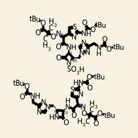 CC(C)(C)OC(=O)NCc1ncn(C[C@@H]2[C@H](NC(=O)/C(=N\OC(C)(C)C(=O)OC(C)(C)C)c3csc(NC(=O)OC(C)(C)C)n3)C(=O)N2S(=O)(=O)O)n1.CC(C)(C)OC(=O)NCc1ncn(C[C@H]2NC(=O)[C@H]2NC(=O)/C(=N\OC(C)(C)C(=O)OC(C)(C)C)c2csc(NC(=O)OC(C)(C)C)n2)n1